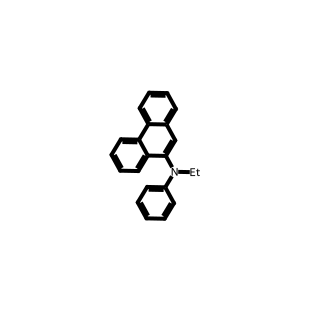 CCN(c1ccccc1)c1cc2ccccc2c2ccccc12